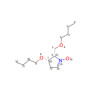 CCCCOC[C@H]1[C@@H](OCCCC)CC=[N+]1[O-]